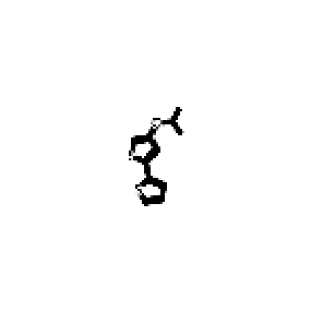 CC(C)Oc1csc(-c2cccs2)c1